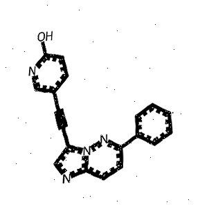 Oc1ccc(C#Cc2cnc3ccc(-c4cc[c]cc4)nn23)cn1